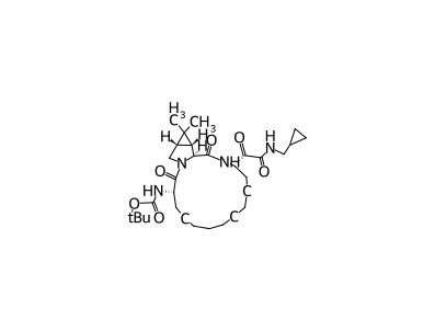 CC(C)(C)OC(=O)N[C@H]1CCCCCCCCC[C@@H](C(=O)C(=O)NCC2CC2)NC(=O)[C@@H]2[C@@H]3[C@H](CN2C1=O)C3(C)C